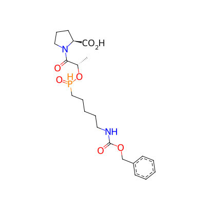 C[C@H](O[PH](=O)CCCCCNC(=O)OCc1ccccc1)C(=O)N1CCC[C@H]1C(=O)O